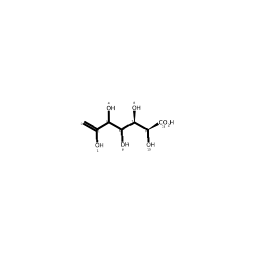 C=C(O)C(O)C(O)[C@@H](O)[C@H](O)C(=O)O